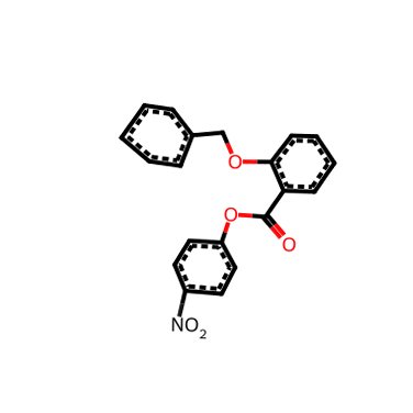 O=C(Oc1ccc([N+](=O)[O-])cc1)c1ccccc1OCc1ccccc1